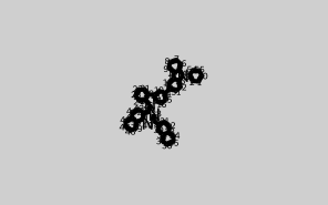 c1ccc(-n2c3ccccc3c3cc(-c4ccc5c(c4)c4ccccc4n5-c4nc(-c5ccc6ccccc6c5)nc5c4ccc4ccccc45)ccc32)cc1